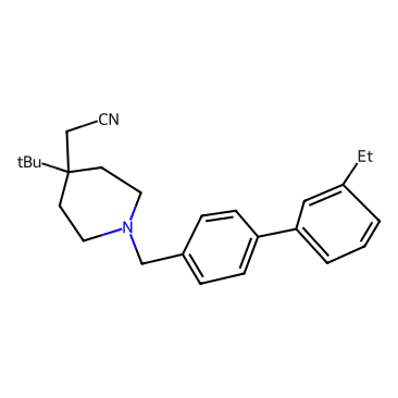 CCc1cccc(-c2ccc(CN3CCC(CC#N)(C(C)(C)C)CC3)cc2)c1